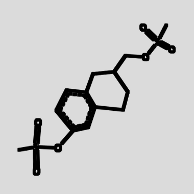 CS(=O)(=O)OCC1CCc2cc(OS(C)(=O)=O)ccc2C1